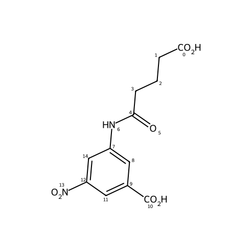 O=C(O)CCCC(=O)Nc1cc(C(=O)O)cc([N+](=O)[O-])c1